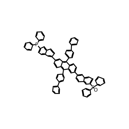 O=P(c1ccccc1)(c1ccccc1)c1ccc2cc(-c3ccc4c(-c5ccc(-c6ccccc6)cc5)c5cc(-c6ccc7cc(P(c8ccccc8)c8ccccc8)ccc7c6)ccc5c(-c5ccc(-c6ccccc6)cc5)c4c3)ccc2c1